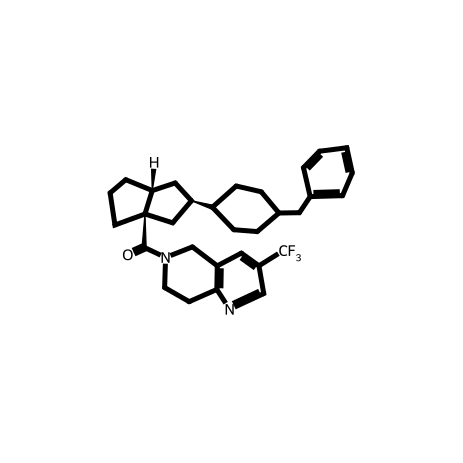 O=C(N1CCc2ncc(C(F)(F)F)cc2C1)[C@@]12CCC[C@@H]1C[C@@H](C1CCC(Cc3ccccc3)CC1)C2